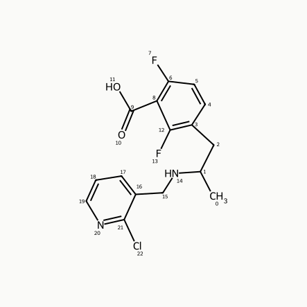 CC(Cc1ccc(F)c(C(=O)O)c1F)NCc1cccnc1Cl